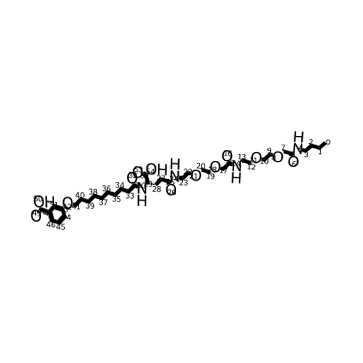 CCCCNC(=O)COCCOCCNC(=O)COCCOCCNC(=O)CC[C@H](NC(=O)CCCCCCCCCOc1cccc(C(=O)O)c1)C(=O)O